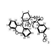 CN=S(=O)(N[C@@H]1CCC[C@H](N2c3ccccc3Oc3ccccc32)[C@@H]1O)c1ccc(OC(F)(F)F)cc1